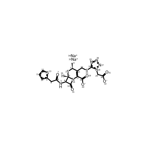 C[C@@H]1S[C@H]2C(NC(=O)Cc3cccs3)C(=O)N2C(C(=O)[O-])=C1CSc1nnnn1CC(=O)[O-].[Na+].[Na+]